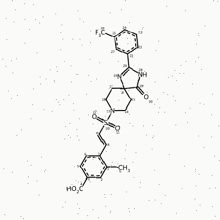 Cc1cc(C(=O)O)ccc1/C=C/S(=O)(=O)N1CCC2(CC1)N=C(c1cccc(C(F)(F)F)c1)NC2=O